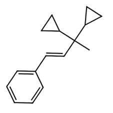 CC(/C=C/c1ccccc1)(C1CC1)C1CC1